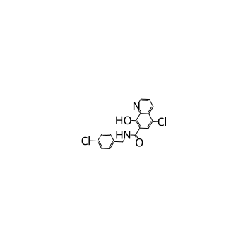 O=C(NCc1ccc(Cl)cc1)c1cc(Cl)c2cccnc2c1O